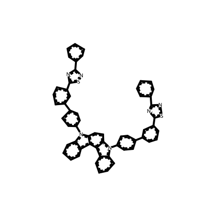 c1ccc(-c2nsc(-c3cccc(-c4ccc(-n5c6ccccc6c6c7c8ccccc8n(-c8ccc(-c9cccc(-c%10nc(-c%11ccccc%11)ns%10)c9)cc8)c7ccc65)cc4)c3)n2)cc1